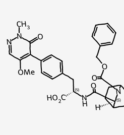 COc1cnn(C)c(=O)c1-c1ccc(C[C@H](NC(=O)[C@@H]2C3CCC(CC3)N2C(=O)OCc2ccccc2)C(=O)O)cc1